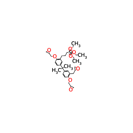 CCO[Si](CCCc1cc(C(C)(C)c2ccc(OCC3CO3)c(CC3CO3)c2)ccc1OCC1CO1)(OCC)OCC